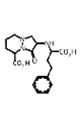 O=C(O)C(CCc1ccccc1)NC1CN2CCCC(C(=O)O)N2C1=O